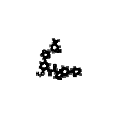 Cc1ccc(-c2noc([C@@H]3CC4(CC4)CN3)n2)cc1NC(=O)c1cnc2cc(-c3cscn3)ccn12